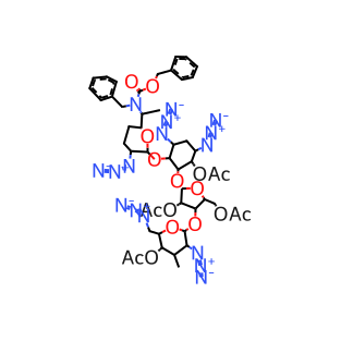 CC(=O)OCC1OC(OC2C(OC(C)=O)C(N=[N+]=[N-])CC(N=[N+]=[N-])C2OC2OC(C(C)N(Cc3ccccc3)C(=O)OCc3ccccc3)CCC2N=[N+]=[N-])C(OC(C)=O)C1OC1OC(CN=[N+]=[N-])C(OC(C)=O)C(C)C1N=[N+]=[N-]